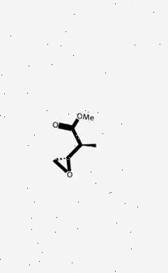 COC(=O)[C@@H](C)[C@H]1CO1